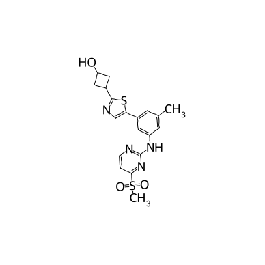 Cc1cc(Nc2nccc(S(C)(=O)=O)n2)cc(-c2cnc(C3CC(O)C3)s2)c1